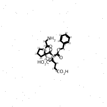 C[C@@]1(C(=O)N(C(=O)OCc2ccccc2)[C@@H](CCC(=O)O)C(=O)O)CCCN1C(=O)CN